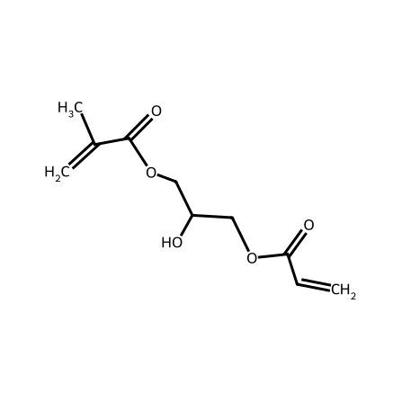 C=CC(=O)OCC(O)COC(=O)C(=C)C